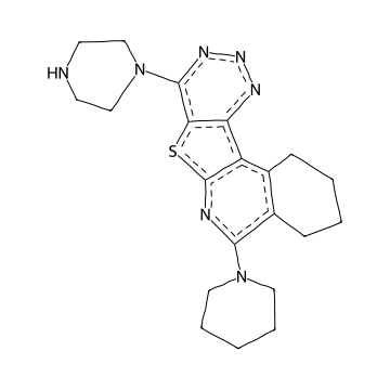 C1CCN(c2nc3sc4c(N5CCNCC5)nnnc4c3c3c2CCCC3)CC1